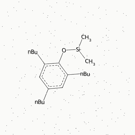 CCCCc1cc(CCCC)c(O[Si](C)C)c(CCCC)c1